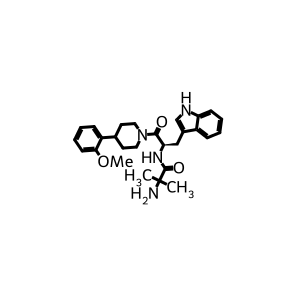 COc1ccccc1C1CCN(C(=O)[C@@H](Cc2c[nH]c3ccccc23)NC(=O)C(C)(C)N)CC1